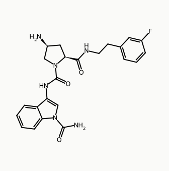 NC(=O)n1cc(NC(=O)N2C[C@@H](N)C[C@H]2C(=O)NCCc2cccc(F)c2)c2ccccc21